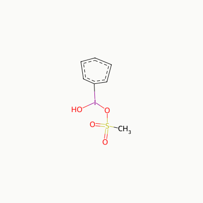 CS(=O)(=O)OI(O)c1ccccc1